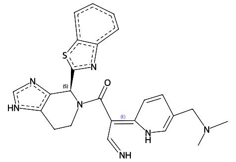 CN(C)CC1=CN/C(=C(\C=N)C(=O)N2CCc3[nH]cnc3[C@H]2c2nc3ccccc3s2)C=C1